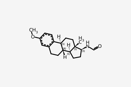 COc1ccc2c(c1)CC[C@@H]1[C@@H]2CC[C@]2(C)[C@@H](NC=O)CC[C@@H]12